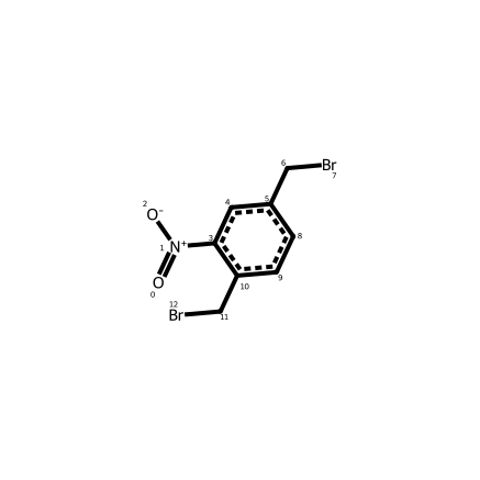 O=[N+]([O-])c1cc(CBr)ccc1CBr